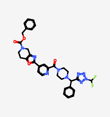 O=C(OCc1ccccc1)N1CCc2oc(-c3ccnc(C(=O)N4CCN(C(c5ccccc5)c5nnn(C(F)F)n5)CC4)c3)nc2C1